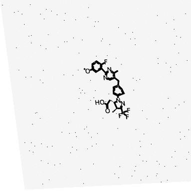 COc1ccc(F)c(-c2ncc(Cc3ccc(N4N=C(C(F)(F)F)[C@@H](C)[C@@H]4CC(=O)O)cc3)c(C)n2)c1